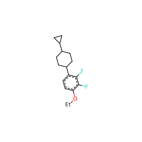 CCOc1ccc(C2CCC(C3CC3)CC2)c(F)c1F